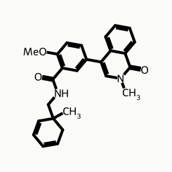 COc1ccc(-c2cn(C)c(=O)c3ccccc23)cc1C(=O)NCC1(C)C=CC=CC1